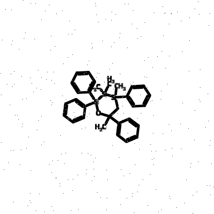 CC1(c2ccccc2)C[Si](C)(c2ccccc2)[Si](C)(C)[Si](c2ccccc2)(c2ccccc2)O1